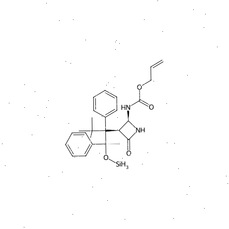 C=CCOC(=O)N[C@H]1NC(=O)[C@H]1C(c1ccccc1)(C(C)(C)C)[C@@](C)(O[SiH3])c1ccccc1